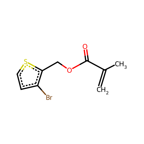 C=C(C)C(=O)OCc1sccc1Br